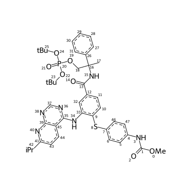 COC(=O)Nc1ccc(Sc2ccc(C(=O)NC(C)(COP(=O)(OC(C)(C)C)OC(C)(C)C)c3ccccc3)cc2Nc2ncnc3nc(C(C)C)ccc23)cc1